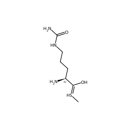 C[SH]=C(O)[C@@H](N)CCCNC(N)=O